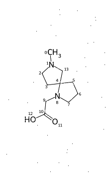 CN1CCC2(CCCN2CC(=O)O)C1